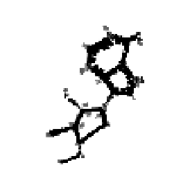 CC[C@H]1C[C@@H](c2c[nH]c3c(Cl)ncnc23)[C@@H](F)[C@@H]1C